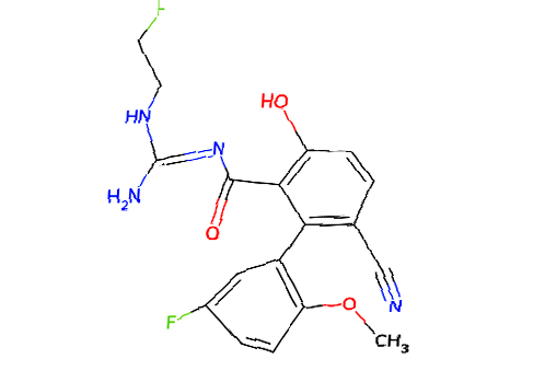 COc1ccc(F)cc1-c1c(C#N)ccc(O)c1C(=O)/N=C(\N)NCCF